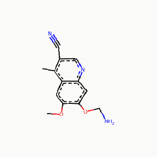 COc1cc2c(C)c(C#N)cnc2cc1OCN